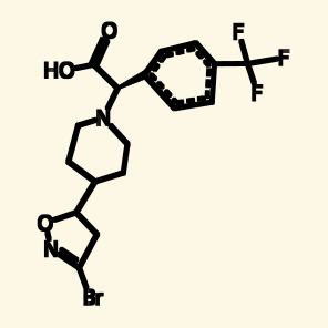 O=C(O)[C@@H](c1ccc(C(F)(F)F)cc1)N1CCC(C2CC(Br)=NO2)CC1